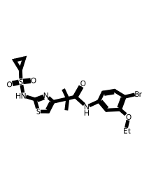 CCOc1cc(NC(=O)C(C)(C)c2csc(NS(=O)(=O)C3CC3)n2)ccc1Br